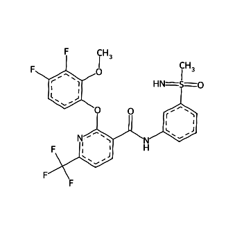 COc1c(Oc2nc(C(F)(F)F)ccc2C(=O)Nc2cccc(S(C)(=N)=O)c2)ccc(F)c1F